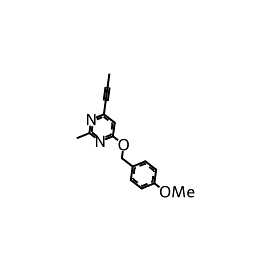 CC#Cc1cc(OCc2ccc(OC)cc2)nc(C)n1